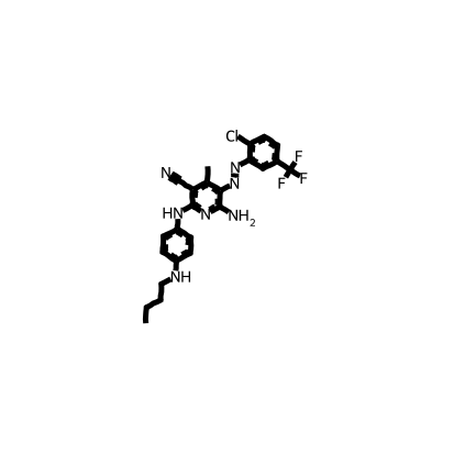 CCCCNc1ccc(Nc2nc(N)c(/N=N/c3cc(C(F)(F)F)ccc3Cl)c(C)c2C#N)cc1